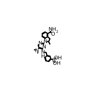 CC1Cc2c(C(N)=O)cccc2N1c1ncc(N(C)C)c(NCc2cccc(B(O)O)c2)n1